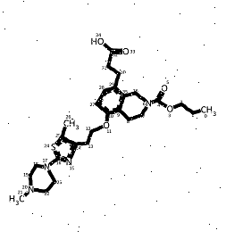 CCCOC(=O)N1CCc2c(OCCc3nc(N4CCN(C)CC4)sc3C)ccc(CCC(=O)O)c2C1